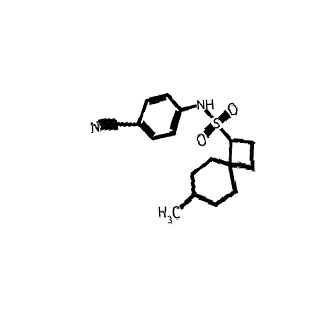 CC1CCC2(CC1)CCC2S(=O)(=O)Nc1ccc(C#N)cc1